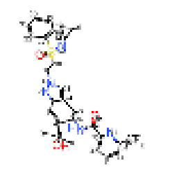 CC(C)(O)c1cc2nn(CCS(=O)(=NC3CC3)c3ccccc3)cc2cc1NC(=O)c1cccc(C(F)(F)F)n1